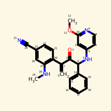 C=C(C(=O)C(Nc1ccnc(OC)c1)c1ccccc1)c1ccc(C#N)cc1NC